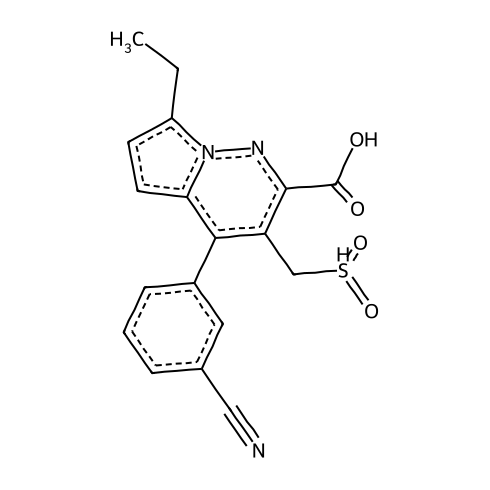 CCc1ccc2c(-c3cccc(C#N)c3)c(C[SH](=O)=O)c(C(=O)O)nn12